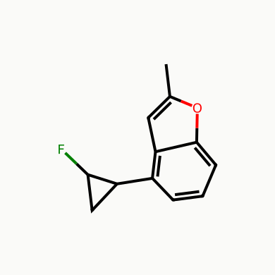 Cc1cc2c(C3CC3F)cccc2o1